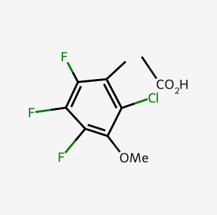 CC(=O)O.COc1c(F)c(F)c(F)c(C)c1Cl